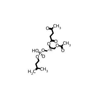 C=C(C)CCOP(=O)(O)OC[C@@H](COC(C)=O)OC(=O)CCC(C)=O